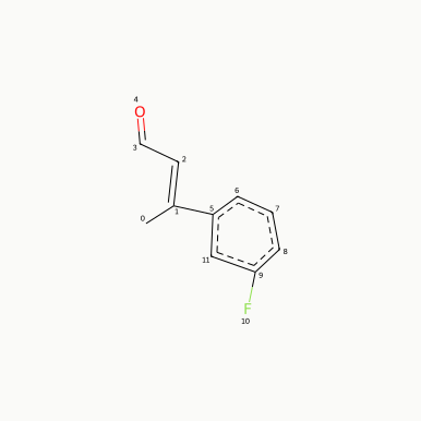 C/C(=C\C=O)c1cccc(F)c1